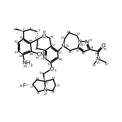 C[C@H]1CC[C@]2(Cc3nc(OC[C@@]45CCCN4C[C@H](F)C5)cc(N4CCCn5nc(C(=O)N(C)C)cc5C4)c3CO2)c2c1ccc(N)c2C#N